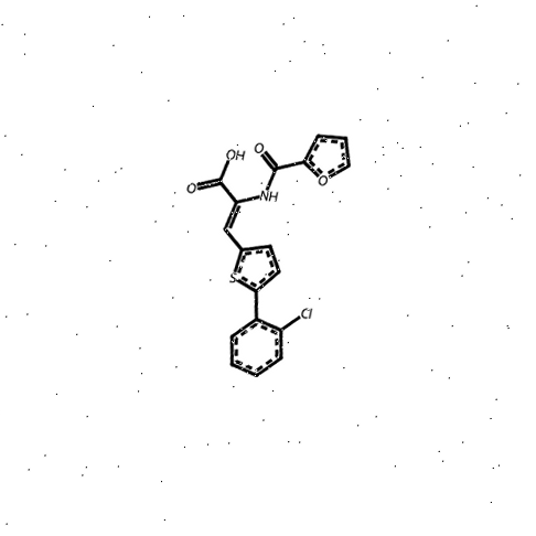 O=C(O)C(=Cc1ccc(-c2ccccc2Cl)s1)NC(=O)c1ccco1